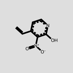 C=Cc1ccnc(O)c1[N+](=O)[O-]